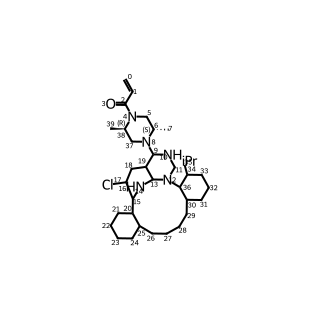 C=CC(=O)N1C[C@H](C)N(C2NCN3C4NC(C(Cl)CC42)C2CCCCC2CCCCC2CCCC(C(C)C)C23)C[C@H]1C